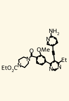 CCOC(=O)N1CCN(C(=O)c2ccc(-c3ncnc(CC)c3C#Cc3ccc(N)nc3)cc2OC)CC1